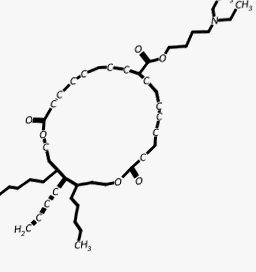 C=C=C=C=C1C(CCCCC)CCOC(=O)CCCCCCCC(C(=O)OCCCCN(CC)CC)CCCCCCCC(=O)OCCC1CCCCC